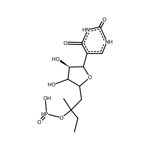 CCC(C)(CC1OC(c2c[nH]c(=O)[nH]c2=O)[C@H](O)C1O)O[PH](=O)O